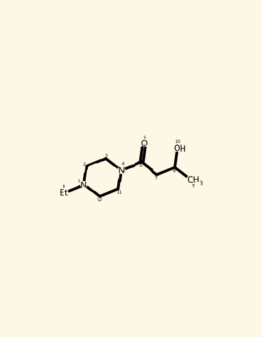 CCN1CCN(C(=O)CC(C)O)CC1